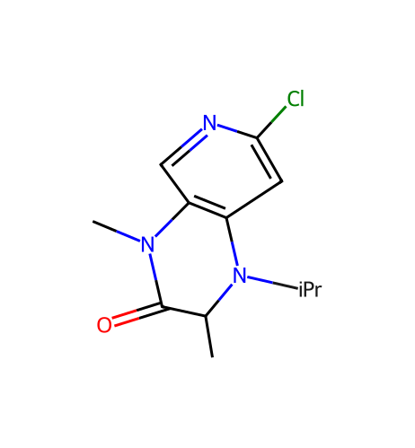 CC(C)N1c2cc(Cl)ncc2N(C)C(=O)C1C